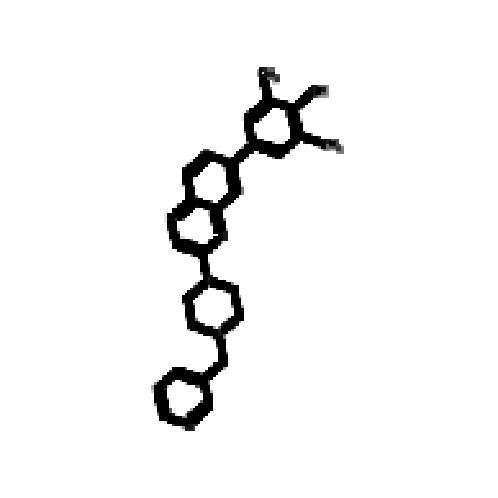 Cc1cc(-c2ccc3ncc(N4CCN(Cc5cccnc5)CC4)nc3c2)cc(C)c1O